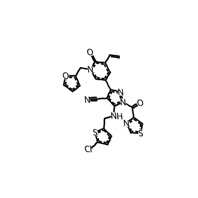 C=Cc1cc(-c2nn(C(=O)c3cscn3)c(NCc3ccc(Cl)s3)c2C#N)cn(Cc2ccco2)c1=O